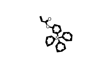 C=CC(=O)Oc1cccc([Si](c2ccccc2)(c2ccccc2)c2ccccc2)c1